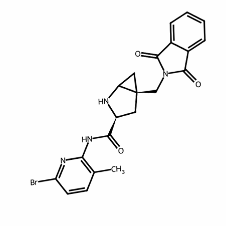 Cc1ccc(Br)nc1NC(=O)[C@@H]1C[C@@]2(CN3C(=O)c4ccccc4C3=O)CC2N1